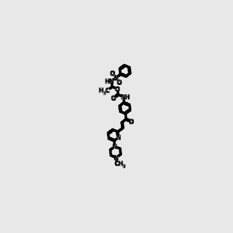 CC(NS(=O)(=O)c1ccccc1)OC(=O)Nc1ccc(C(=O)C=Cc2cccc(N3CCN(C)CC3)n2)cc1